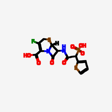 O=C(O)C1=C(F)CS[C@@H]2C(NC(=O)C(c3cccs3)S(=O)(=O)O)C(=O)N12